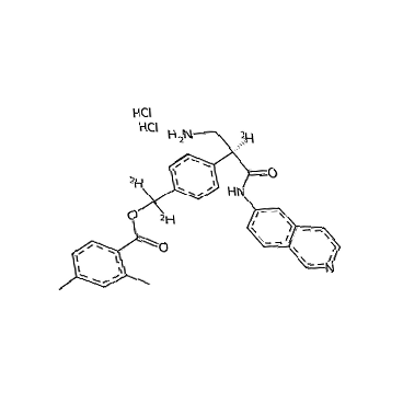 Cl.Cl.[2H]C([2H])(OC(=O)c1ccc(C)cc1C)c1ccc([C@@]([2H])(CN)C(=O)Nc2ccc3cnccc3c2)cc1